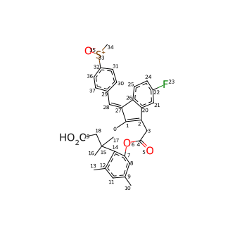 CC1=C(CC(=O)Oc2cc(C)cc(C)c2C(C)(C)CC(=O)O)c2cc(F)ccc2C1=Cc1ccc([S+](C)[O-])cc1